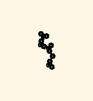 c1cc(-c2ccc3oc4ccccc4c3c2)cc(-c2ccc3c(c2)c2ccccc2n3-c2ccc3oc4ccc(-n5c6ccccc6c6ccccc65)cc4c3c2)c1